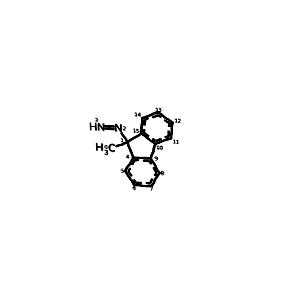 CC1(N=N)c2ccccc2-c2ccccc21